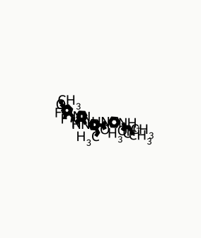 CCc1cc(Nc2nccn3c(-c4ccc(OC)c(F)c4F)cnc23)ccc1C(=O)N[C@H]1CC[C@H](NC(=O)C[N+](C)(C)C)CC1